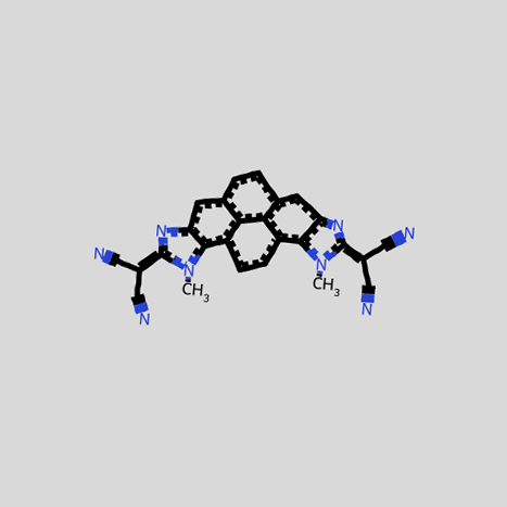 Cn1c(=C(C#N)C#N)nc2cc3ccc4cc5nc(=C(C#N)C#N)n(C)c5c5ccc(c3c45)c21